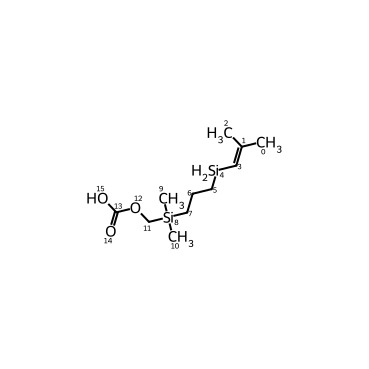 CC(C)=C[SiH2]CCC[Si](C)(C)COC(=O)O